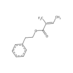 C/C=C(/C(=O)OCCc1ccccc1)C(F)(F)F